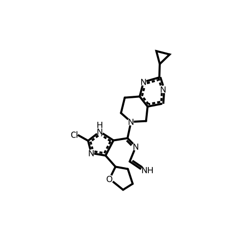 N=C/N=C(\c1[nH]c(Cl)nc1C1CCCO1)N1CCc2nc(C3CC3)ncc2C1